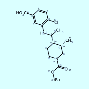 CC(Nc1cc(C(=O)O)ccc1Cl)[C@H]1CCN(C(=O)OC(C)(C)C)C[C@H]1C